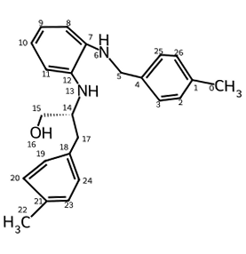 Cc1ccc(CNc2ccccc2N[C@@H](CO)Cc2ccc(C)cc2)cc1